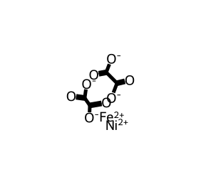 O=C([O-])C(=O)[O-].O=C([O-])C(=O)[O-].[Fe+2].[Ni+2]